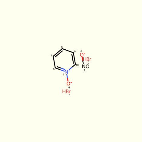 Br.Br.O=[NH+][O-].[O-][n+]1ccccc1